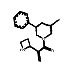 C=C(C(=O)N1CC(I)CC(c2ccccc2)C1)C1CCN1